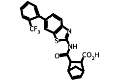 O=C(O)C1C2C=CC(C2)C1C(=O)Nc1nc2ccc(-c3ccccc3C(F)(F)F)cc2s1